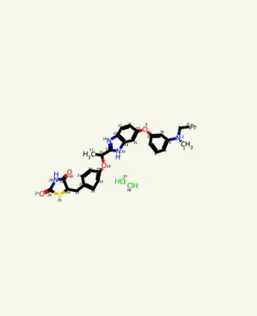 CC(C)CN(C)c1cccc(Oc2ccc3nc(C(C)Oc4ccc(CC5SC(=O)NC5=O)cc4)[nH]c3c2)c1.Cl.Cl